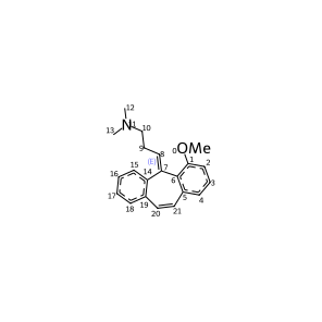 COc1cccc2c1/C(=C/CCN(C)C)c1ccccc1C=C2